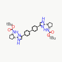 CC(C)(C)OC(=O)N[C@H]1CCC[C@H]1c1nc(-c2ccc(-c3ccc(-c4c[nH]c([C@@H]5CCC[C@@H]5NC(=O)OC(C)(C)C)n4)cc3)cc2)c[nH]1